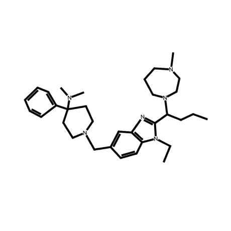 CCCC(c1nc2cc(CN3CCC(c4ccccc4)(N(C)C)CC3)ccc2n1CC)N1CCCN(C)CC1